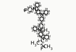 CC/C(=C\C=C(/C)F)n1c2ccccc2c2cc(N(c3ccccc3)[C@@]3(C)C=CC(c4ccc(N(c5ccccc5)c5ccc6c(c5)c5ccccc5n6C5=CCC(F)C=C5)cc4)=CC3)ccc21